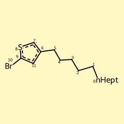 CCCCCCCCCCCCc1[c]sc(Br)c1